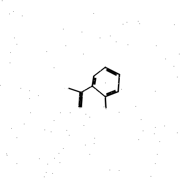 CC(C)(C)C(=O)c1cc[c]cc1Cl